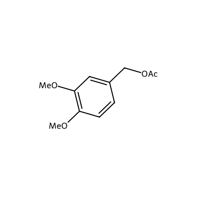 [CH2]C(=O)OCc1ccc(OC)c(OC)c1